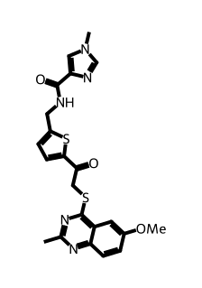 COc1ccc2nc(C)nc(SCC(=O)c3ccc(CNC(=O)c4cn(C)cn4)s3)c2c1